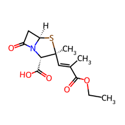 CCOC(=O)/C(C)=C/[C@]1(C)S[C@@H]2CC(=O)N2[C@H]1C(=O)O